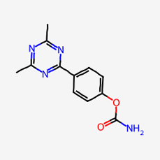 Cc1nc(C)nc(-c2ccc(OC(N)=O)cc2)n1